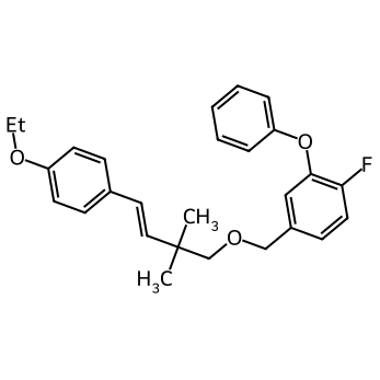 CCOc1ccc(C=CC(C)(C)COCc2ccc(F)c(Oc3ccccc3)c2)cc1